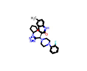 Cc1ccc2[nH]c(=O)c([C@H](c3nnnn3C3CCCC3)N3CCN(c4ccccc4F)CC3)cc2c1